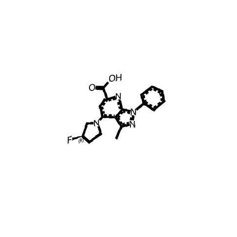 Cc1nn(-c2ccccc2)c2nc(C(=O)O)cc(N3CC[C@@H](F)C3)c12